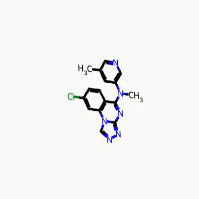 Cc1cncc(N(C)c2nc3nncn3c3cc(Cl)ccc23)c1